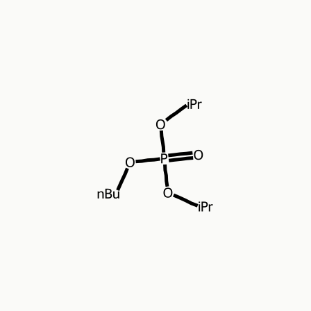 CCCCOP(=O)(OC(C)C)OC(C)C